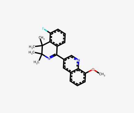 COc1cccc2cc(C3=NC(C)(C)C(C)(C)c4c(F)cccc43)cnc12